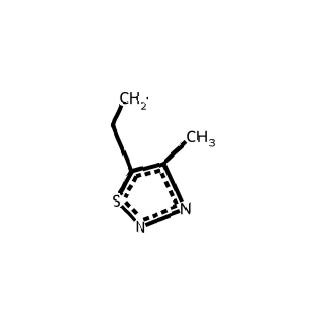 [CH2]Cc1snnc1C